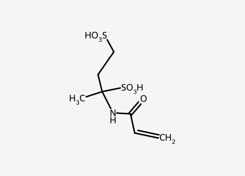 C=CC(=O)NC(C)(CCS(=O)(=O)O)S(=O)(=O)O